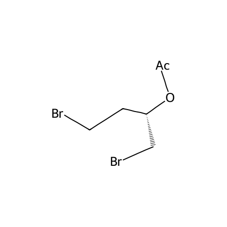 CC(=O)O[C@H](CBr)CCBr